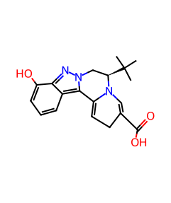 CC(C)(C)[C@@H]1Cn2nc3c(O)cccc3c2C2=CCC(C(=O)O)=CN21